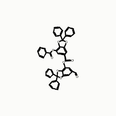 O=Cc1cc(OC(=O)c2cc(OC(=O)c3ccccc3)c3c(c2)OC(c2ccccc2)(c2ccccc2)O3)c2c(c1)OC(c1ccccc1)(c1ccccc1)O2